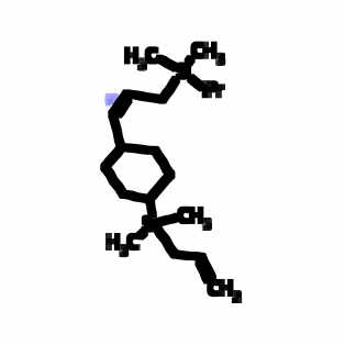 C=CC[Si](C)(C)C1CCC(/C=C\C[Si](C)(C)C(C)C)CC1